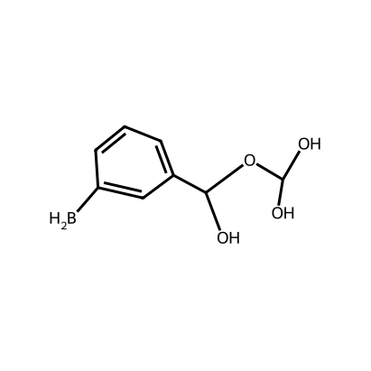 Bc1cccc(C(O)OC(O)O)c1